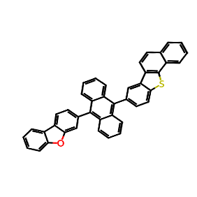 c1ccc2c(c1)ccc1c3cc(-c4c5ccccc5c(-c5ccc6c(c5)oc5ccccc56)c5ccccc45)ccc3sc21